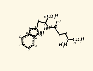 NC(CCC(=O)NC(Cc1cc2ccccc2[nH]1)C(=O)O)C(=O)O